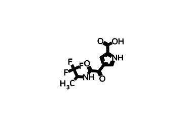 CC(NC(=O)C(=O)c1c[nH]c(C(=O)O)c1)C(F)(F)F